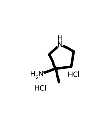 CC1(N)CCNC1.Cl.Cl